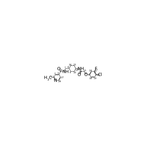 Cc1cc(C(=O)NCC2CCC(NC(=O)COc3ccc(Cl)c(F)c3)CC2)ccn1